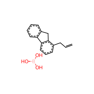 C=CCc1cccc2c1Cc1ccccc1-2.OB(O)O